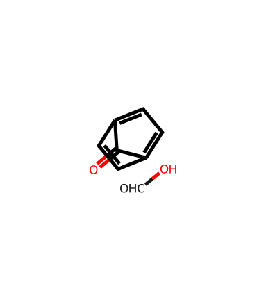 O=C1C2=CC=C1C=C2.O=CO